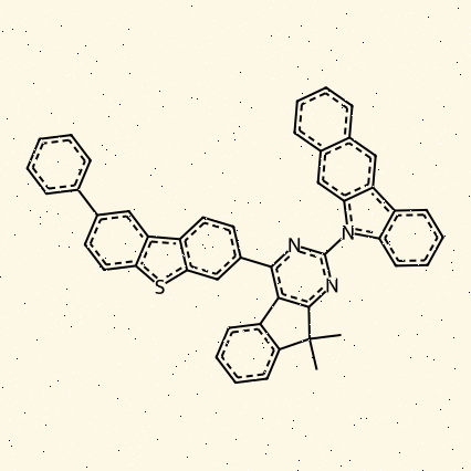 CC1(C)c2ccccc2-c2c(-c3ccc4c(c3)sc3ccc(-c5ccccc5)cc34)nc(-n3c4ccccc4c4cc5ccccc5cc43)nc21